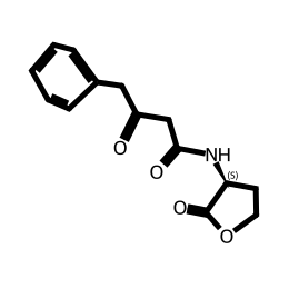 O=C(CC(=O)N[C@H]1CCOC1=O)Cc1ccccc1